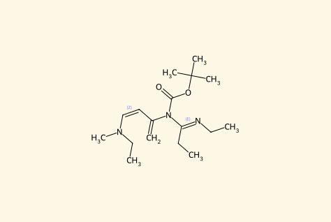 C=C(/C=C\N(C)CC)N(C(=O)OC(C)(C)C)/C(CC)=N/CC